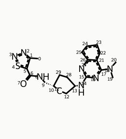 Cc1nnsc1C(=O)NC[C@H]1CC[C@@H](Nc2nc(N(C)C)c3ccccc3n2)CC1